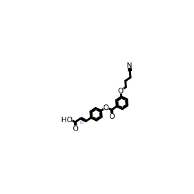 N#CCCCOc1cccc(C(=O)Oc2ccc(/C=C/C(=O)O)cc2)c1